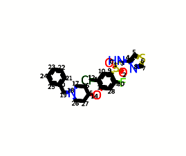 O=S(=O)(Nc1cscn1)c1cc(Cl)c(OC2CCN(Cc3ccccc3)CC2)cc1F